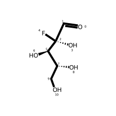 O=C[C@](O)(F)[C@H](O)[C@H](O)CO